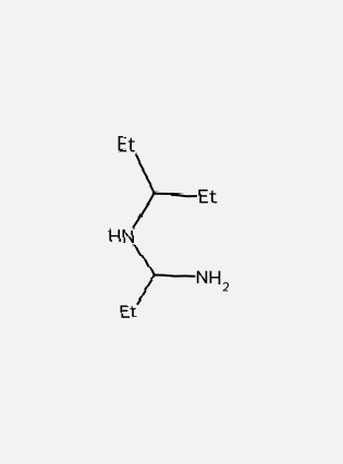 CCC(N)NC(CC)CC